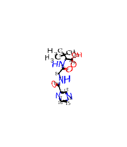 CC(C)(C)C(NC(=O)CNC(=O)c1cnccn1)C(=O)O